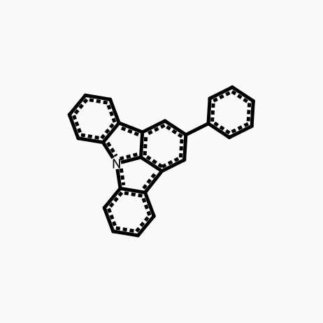 c1ccc(-c2cc3c4ccccc4n4c5ccccc5c(c2)c34)cc1